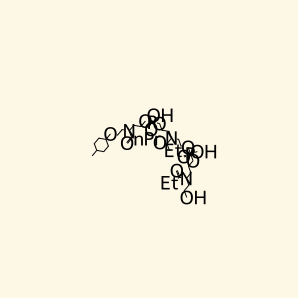 CCCC(=O)N(CCOC1CCC(C)CC1)CCOP(=O)(O)OCCN(CCOP(=O)(O)OCCN(CCO)C(=O)CC)C(=O)CC